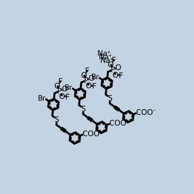 O=C([O-])c1cccc(C#CCSCc2ccc(CP(=O)(OF)OF)c(Br)c2)c1.O=C([O-])c1cccc(C#CCSCc2ccc(CP(=O)(OF)OF)c(Br)c2)c1.O=C([O-])c1cccc(C#CCSCc2ccc(CP(=O)(OF)OF)c(Br)c2)c1.[Na+].[Na+].[Na+]